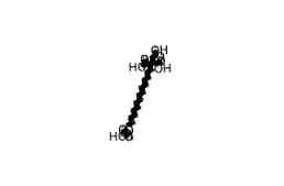 O=C(O)CC(C(=O)O)=C(CCCCCCCCCCCCCCCCOS(=O)(=O)O)C(=O)O